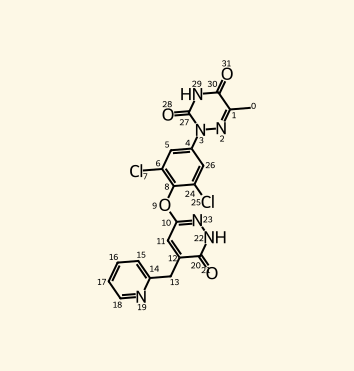 Cc1nn(-c2cc(Cl)c(Oc3cc(Cc4ccccn4)c(=O)[nH]n3)c(Cl)c2)c(=O)[nH]c1=O